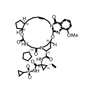 C=C[C@@H]1C[C@]1(NC(=O)[C@@H]1C[C@@H]2CN1C(=O)[C@H](C1CCCC1)NC(=O)O[C@@H]1CCC[C@H]1CCC=CCn1c(nc3c(OC)cccc3c1=O)O2)C(=O)NS(=O)(=O)C1CC1